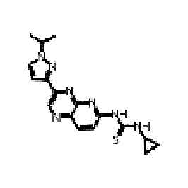 CC(C)n1ccc(-c2cnc3ccc(NC(=S)NC4CC4)nc3n2)n1